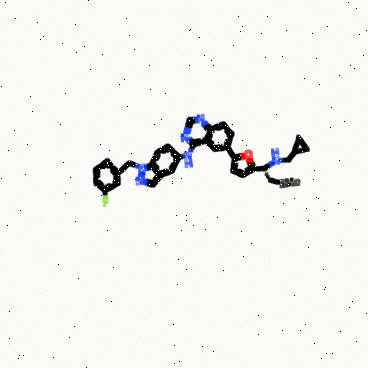 CSC[C@@H](NCC1CC1)c1ccc(-c2ccc3ncnc(Nc4ccc5c(cnn5Cc5cccc(F)c5)c4)c3c2)o1